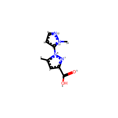 Cc1cc(C(=O)O)nn1-c1ccnn1C